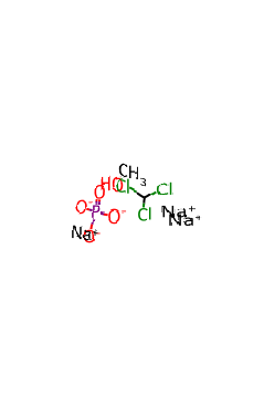 CO.ClC(Cl)Cl.O=P([O-])([O-])[O-].[Na+].[Na+].[Na+]